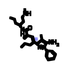 C=C(/C=C(\CCC)c1nn(-c2ccccc2)c(N)c1C)C(=O)NC(CCC)CCNC